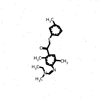 CCN(C)/C=N\c1cc(C)c(C(=O)CSc2cccc(C)c2)cc1C